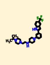 CC(C)N1CCN(CCNC2CCN(c3cccc(-c4cc5cc(C(F)(F)F)ccc5[nH]4)c3)CC2)CC1